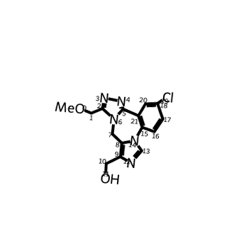 COCc1nnc2n1Cc1c(CO)ncn1-c1ccc(Cl)cc1-2